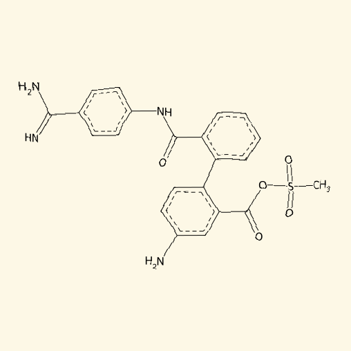 CS(=O)(=O)OC(=O)c1cc(N)ccc1-c1ccccc1C(=O)Nc1ccc(C(=N)N)cc1